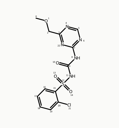 COCc1ncnc(NC(=O)NS(=O)(=O)c2ccccc2Cl)n1